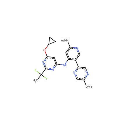 COc1cnc(-c2cnc(NC(C)=O)cc2Nc2cc(OC3CC3)nc(C(C)(F)F)n2)cn1